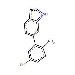 O=[N+]([O-])c1ccc(Br)cc1-c1ccc2cc[nH]c2c1